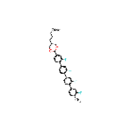 COCCCC1COC(c2ccc(-c3ccc(-c4ccc(-c5ccc(C(F)(F)F)c(F)c5)c(F)c4)c(F)c3)c(F)c2)OC1